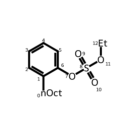 CCCCCCCCc1ccccc1OS(=O)(=O)OCC